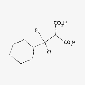 CCC(CC)(C1CCCCC1)C(C(=O)O)C(=O)O